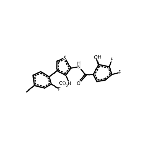 Cc1ccc(-c2csc(NC(=O)c3ccc(F)c(F)c3O)c2C(=O)O)c(F)c1